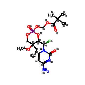 CC[C@@]1(OC)COP(=O)(OCOC(=O)C(C)(C)C)O[C@H]1[C@@H](F)n1ccc(N)nc1=O